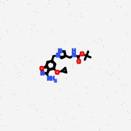 CC(C)(C)OC(=O)NCc1cnn(Cc2cc(OC3CC3)c3c(N)noc3c2)c1